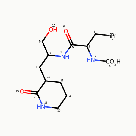 CC(C)CC(NC(=O)O)C(=O)NC(CO)CC1CCCNC1=O